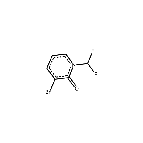 O=c1c(Br)cccn1C(F)F